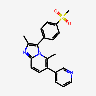 Cc1nc2ccc(-c3cccnc3)c(C)n2c1-c1ccc(S(C)(=O)=O)cc1